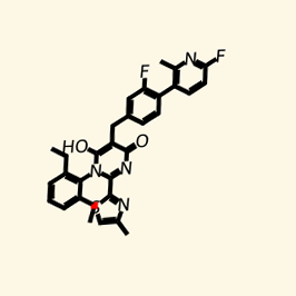 CCc1cccc(CC)c1-n1c(-c2nc(C)cs2)nc(=O)c(Cc2ccc(-c3ccc(F)nc3C)c(F)c2)c1O